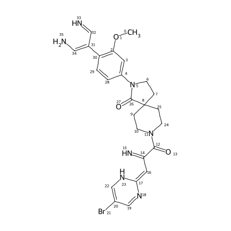 COc1cc(N2CCC3(CCN(C(=O)C(=N)/C=C4/N=CC(Br)=CN4)CC3)C2=O)ccc1/C(C=N)=C/N